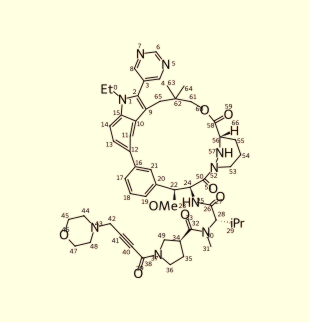 CCn1c(-c2cncnc2)c2c3cc(ccc31)-c1cccc(c1)[C@H](OC)[C@H](NC(=O)[C@H](C(C)C)N(C)C(=O)[C@H]1CCN(C(=O)C#CCN3CCOCC3)C1)C(=O)N1CCC[C@H](N1)C(=O)OCC(C)(C)C2